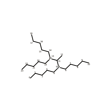 CCCCCP(CCCCC)C(C)P(CCCCC)CCCCC